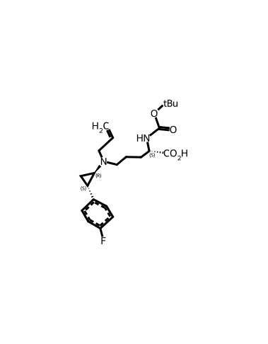 C=CCN(CCC[C@H](NC(=O)OC(C)(C)C)C(=O)O)[C@@H]1C[C@H]1c1ccc(F)cc1